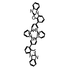 C1=CB2N3C=CC(c4cccc5c4oc4nc6ccccc6n45)=CB3N3C=CC=CB3N3C=CC(c4cccc5c4sc4nc6ccccc6n45)=CB3N2C=C1